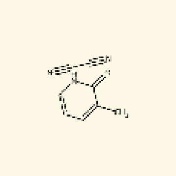 Cc1ccc[nH]c1=O.N#CC#N